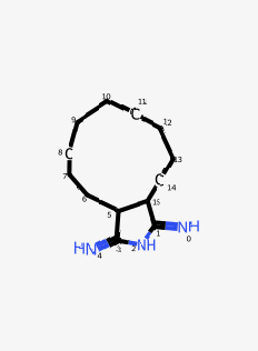 N=C1NC(=N)C2CCCCCCCCCC12